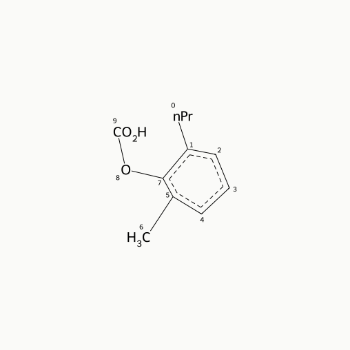 CCCc1cccc(C)c1OC(=O)O